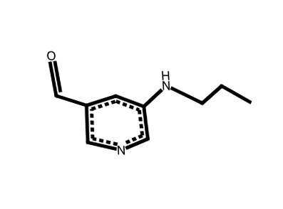 CCCNc1cncc(C=O)c1